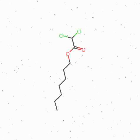 CCCCCCCOC(=O)C(Cl)Cl